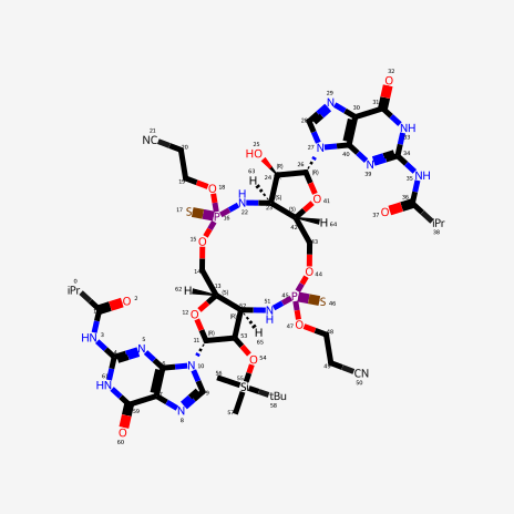 CC(C)C(=O)Nc1nc2c(ncn2[C@@H]2O[C@@H]3COP(=S)(OCCC#N)N[C@H]4[C@@H](O)[C@H](n5cnc6c(=O)[nH]c(NC(=O)C(C)C)nc65)O[C@@H]4COP(=S)(OCCC#N)N[C@H]3C2O[Si](C)(C)C(C)(C)C)c(=O)[nH]1